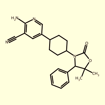 CC1(C)OC(=O)N(C2CCC(c3cnc(N)c(C#N)c3)CC2)C1c1ccccc1